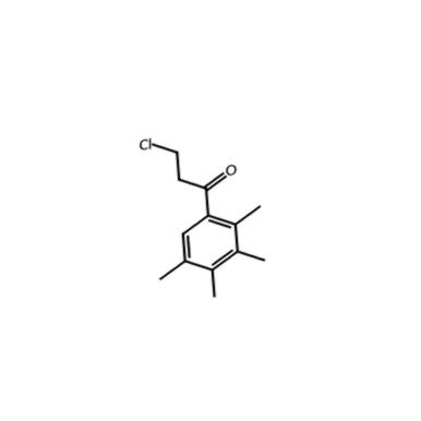 Cc1cc(C(=O)CCCl)c(C)c(C)c1C